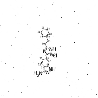 Nc1n[nH]c2cc(-c3nc([CH]Cc4ccccc4)[nH]c3Cl)ccc12